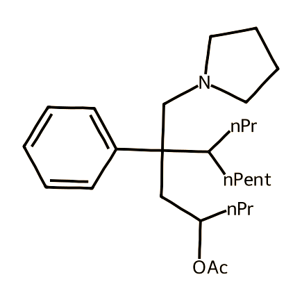 CCCCCC(CCC)C(CC(CCC)OC(C)=O)(CN1CCCC1)c1ccccc1